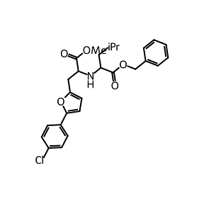 COC(=O)C(Cc1ccc(-c2ccc(Cl)cc2)o1)NC(CC(C)C)C(=O)OCc1ccccc1